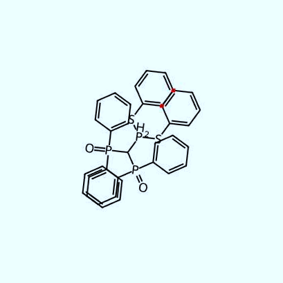 O=P(c1ccccc1)(c1ccccc1)C([PH2](Sc1ccccc1)Sc1ccccc1)P(=O)(c1ccccc1)c1ccccc1